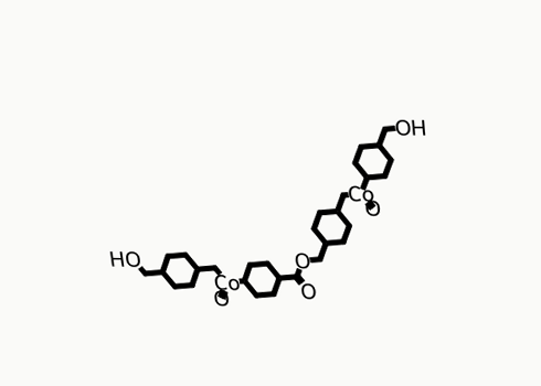 O=C(OCC1CCC([CH2][Co](=[O])[CH]2CCC(CO)CC2)CC1)C1CC[CH]([Co](=[O])[CH2]C2CCC(CO)CC2)CC1